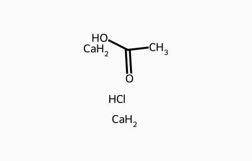 CC(=O)O.Cl.[CaH2].[CaH2]